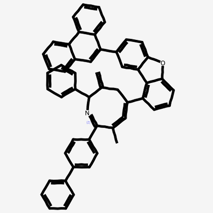 C=C1CC(c2cccc3oc4ccc(-c5cc6ccccc6c6ccccc56)cc4c23)=C=C(C)/C(c2ccc(-c3ccccc3)cc2)=N\C1c1ccccc1